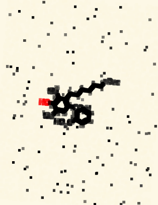 CCCCCCCCCCCCCCCCc1c(C(=O)O)cc(C(C)(C)C)c(O)c1C(C)(C)C.O=C(O)c1ccccc1